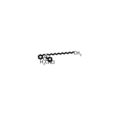 CCCCCCCCCCCCCCCCN(Cc1ccccc1C)Cc1ccccc1C.Cl